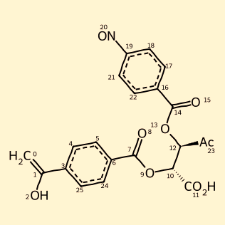 C=C(O)c1ccc(C(=O)O[C@@H](C(=O)O)[C@@H](OC(=O)c2ccc(N=O)cc2)C(C)=O)cc1